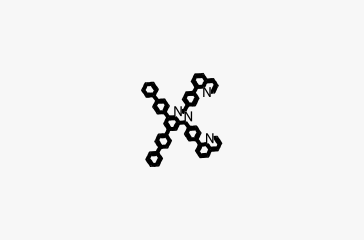 C1=CC(c2ccc(-c3cc(C4=CC=C(c5ccccc5)CC4)cc4c(-c5ccc(-c6cccc7cccnc67)cc5)nc(-c5ccc(-c6cccc7cccnc67)cc5)nc34)cc2)=CCC1